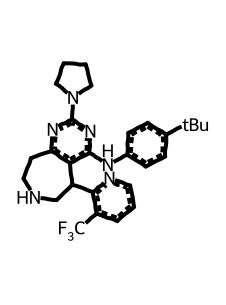 CC(C)(C)c1ccc(Nc2nc(N3CCCC3)nc3c2C(c2ncccc2C(F)(F)F)CNCC3)cc1